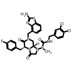 CN(C(=O)NCc1ccc(Cl)c(Cl)c1)N1CC(=O)N2[C@@H](Cc3ccc(F)cc3)C(=O)N(Cc3cccc4sc(N)nc34)C[C@@H]21